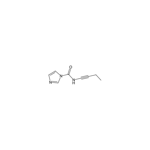 CCC#CNC(=O)n1ccnc1